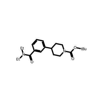 CCN(CC)C(=O)c1cccc(C2CCN(C(=O)OC(C)(C)C)CC2)c1